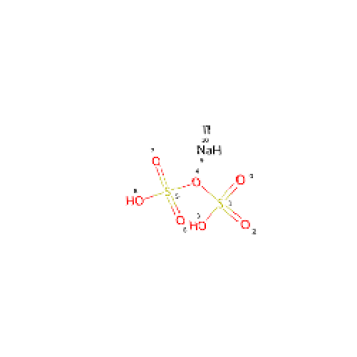 O=S(=O)(O)OS(=O)(=O)O.[NaH].[Ti]